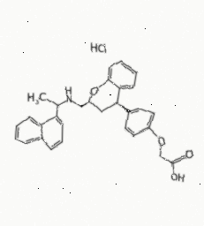 CC(NC[C@@H]1C[C@H](c2ccc(OCC(=O)O)cc2)c2ccccc2O1)c1cccc2ccccc12.Cl